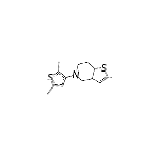 Cc1cc(N2CCC3S[C]=CC3C2)c(C)s1